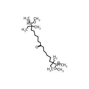 CCC(C)(CCCCCCC(=O)CCCCCCC(C)(CC)[SiH](OC)OC)[SiH](OC)OC